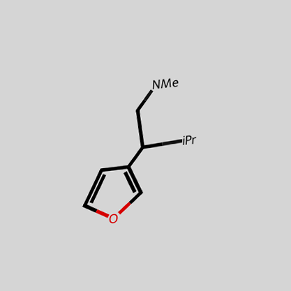 CNCC(c1ccoc1)C(C)C